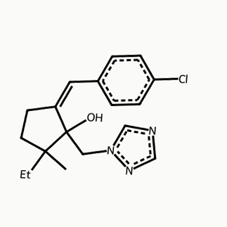 CCC1(C)CC/C(=C/c2ccc(Cl)cc2)C1(O)Cn1cncn1